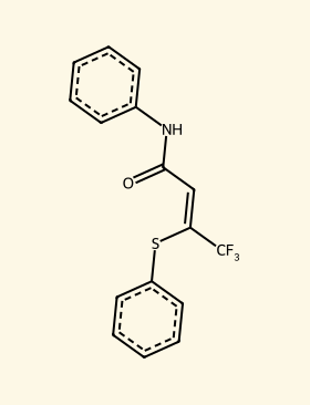 O=C(/C=C(\Sc1ccccc1)C(F)(F)F)Nc1ccccc1